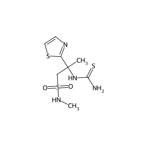 CNS(=O)(=O)CC(C)(NC(N)=S)c1nccs1